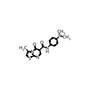 Cc1csc2ncc(C(=O)Nc3ccc(N(C)C)cc3)c(=O)n12